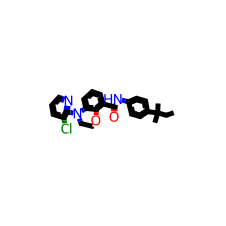 CCC(C)(C)c1ccc(NC(=O)c2cccc3c2OCCN3c2ncccc2Cl)cc1